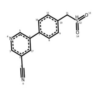 N#Cc1cncc(-c2ccc(C[SH](=O)=O)cc2)c1